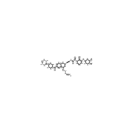 NCCOc1cc(C#CCNC(=O)c2cncn(Cc3ccc(F)c(F)c3)c2=O)cc2cnc(Nc3ccc(N4CCOCC4)cc3)nc12